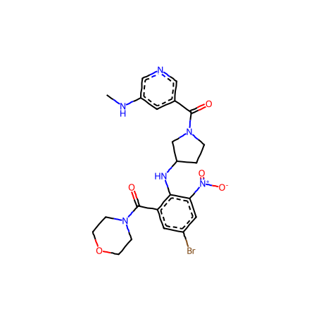 CNc1cncc(C(=O)N2CCC(Nc3c(C(=O)N4CCOCC4)cc(Br)cc3[N+](=O)[O-])C2)c1